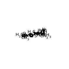 Cc1c(-c2[nH]c3sc([C@@H]4CC5CC4CN5CCS(=O)(=O)N(C)C)c(C)c3c2C(C)C)cn2ncnc2c1C